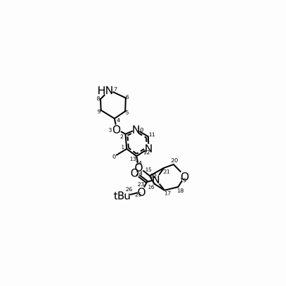 Cc1c(OC2CCNCC2)ncnc1OC1CC2COCC1N2C(=O)OC(C)(C)C